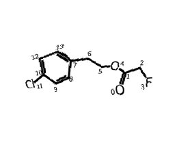 O=C(CF)OCCc1ccc(Cl)cc1